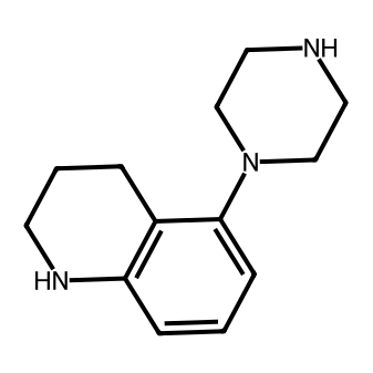 c1cc2c(c(N3CCNCC3)c1)CCCN2